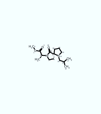 COC(=O)[C@H](C)N1CC[C@@]2(CCCN2CC(C)C)C1=O